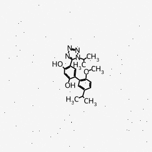 COc1ccc(C(C)C)cc1-c1cc(-c2nnnn2C(C)C)c(O)cc1O